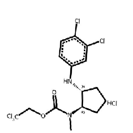 CN(C(=O)OCC(Cl)(Cl)Cl)[C@@H]1CCC[C@H]1Nc1ccc(Cl)c(Cl)c1.Cl